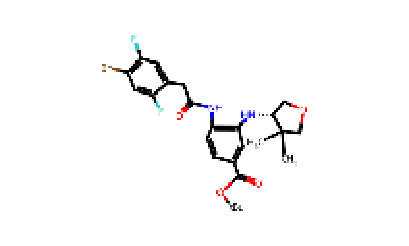 CC(C)(C)OC(=O)c1ccc(NC(=O)Cc2cc(F)c(Br)cc2F)c(N[C@@H]2COCC2(C)C)c1